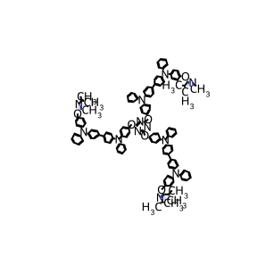 C/N=C(/Oc1ccc(N(c2ccccc2)c2ccc(-c3ccc(N(c4ccccc4)c4ccc(Oc5nc(Oc6ccc(N(c7ccccc7)c7ccc(-c8ccc(N(c9ccccc9)c9ccc(O/C(C)=N/C(C)C)cc9)cc8)cc7)cc6)nc(Oc6ccc(N(c7ccccc7)c7ccc(-c8ccc(N(c9ccccc9)c9ccc(O/C(=N/C(C)C)C(C)C)cc9)cc8)cc7)cc6)n5)cc4)cc3)cc2)cc1)C(C)C